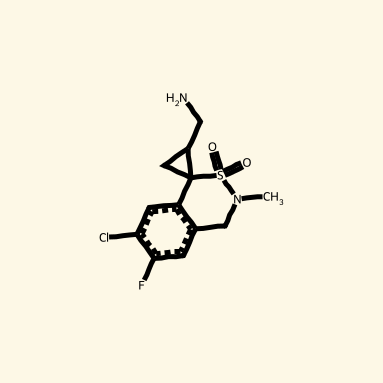 CN1Cc2cc(F)c(Cl)cc2C2(CC2CN)S1(=O)=O